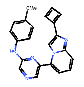 COc1ccc(Nc2cncc(-c3cccc4nc(C5=CC=C5)cn34)n2)cc1